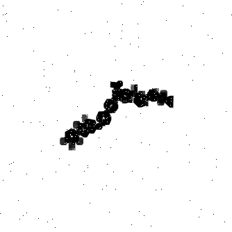 CC(C)n1nc(N2CCN(C3CCN(Cc4cc(F)c5c(c4)CN(C4CCC(=O)NC4=O)C5=O)CC3)CC2)c2cnc(Nc3ccnc(-c4cnn(S(=O)(=O)C5CC5)c4)n3)cc21